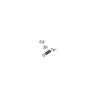 O=[Te+].[Cd].[Zn]